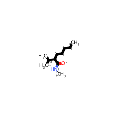 CCCCCC(C(=O)NC)C(C)C